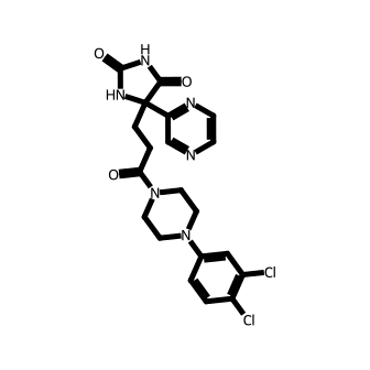 O=C1NC(=O)C(CCC(=O)N2CCN(c3ccc(Cl)c(Cl)c3)CC2)(c2cnccn2)N1